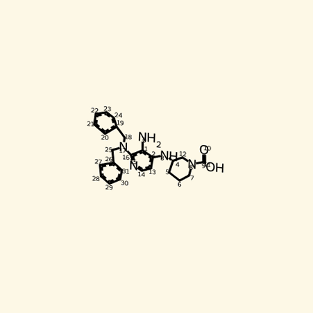 Nc1c(N[C@@H]2CCCN(C(=O)O)C2)ccnc1N(Cc1ccccc1)Cc1ccccc1